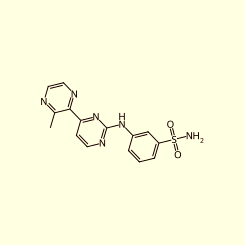 Cc1nccnc1-c1ccnc(Nc2cccc(S(N)(=O)=O)c2)n1